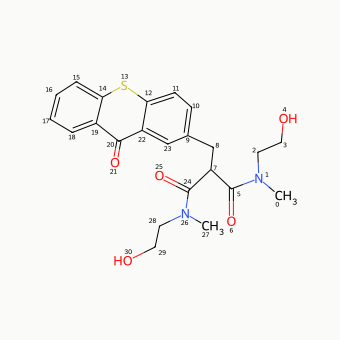 CN(CCO)C(=O)C(Cc1ccc2sc3ccccc3c(=O)c2c1)C(=O)N(C)CCO